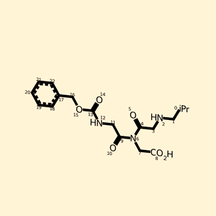 CC(C)CNCC(=O)N(CC(=O)O)C(=O)CNC(=O)OCc1ccccc1